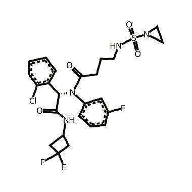 O=C(NC1CC(F)(F)C1)[C@H](c1ccccc1Cl)N(C(=O)CCCNS(=O)(=O)N1CC1)c1cccc(F)c1